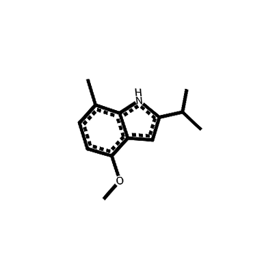 COc1ccc(C)c2[nH]c(C(C)C)cc12